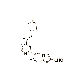 CC(NC(=O)c1cc(NCC2CCNCC2)ncn1)c1ncc(C=O)s1